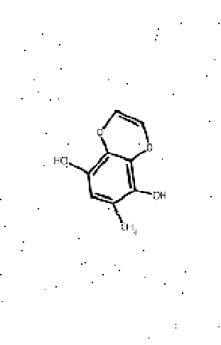 Cc1cc(O)c2c(c1O)OC=CO2